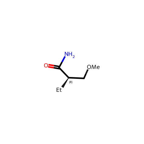 CC[C@H](COC)C(N)=O